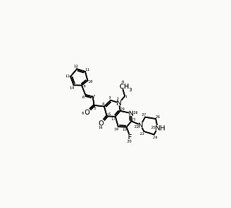 CCn1cc(C(=O)C=Cc2ccccc2)c(=O)c2cc(F)c(N3CCNCC3)nc21